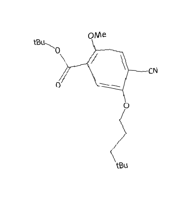 COc1cc(C#N)c(OCCCC(C)(C)C)cc1C(=O)OC(C)(C)C